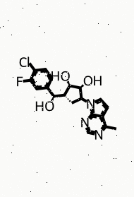 Cc1ncnc2c1ccn2C1C[C@H]([C@@H](O)c2ccc(Cl)c(F)c2)[C@@H](O)[C@H]1O